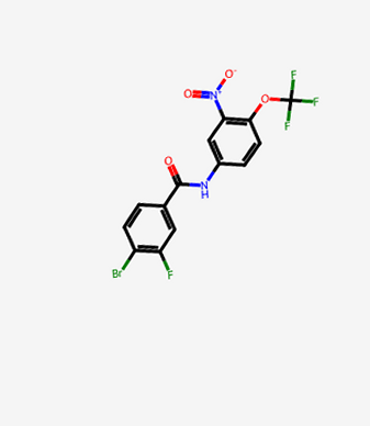 O=C(Nc1ccc(OC(F)(F)F)c([N+](=O)[O-])c1)c1ccc(Br)c(F)c1